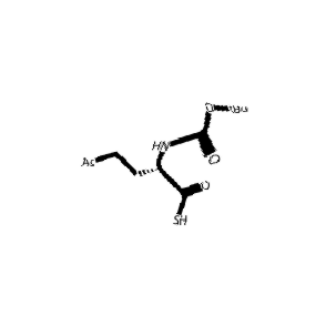 CC(=O)CC[C@H](NC(=O)OC(C)(C)C)C(=O)S